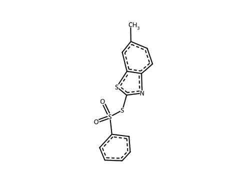 Cc1ccc2nc(SS(=O)(=O)c3ccccc3)sc2c1